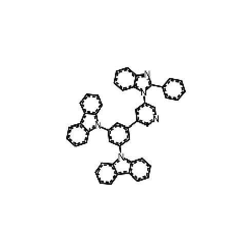 c1ccc(-c2nc3ccccc3n2-c2cncc(-c3cc(-n4c5ccccc5c5ccccc54)cc(-n4c5ccccc5c5ccccc54)c3)c2)cc1